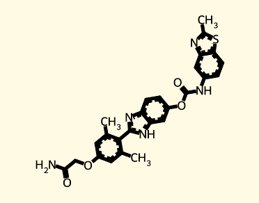 Cc1nc2cc(NC(=O)Oc3ccc4nc(-c5c(C)cc(OCC(N)=O)cc5C)[nH]c4c3)ccc2s1